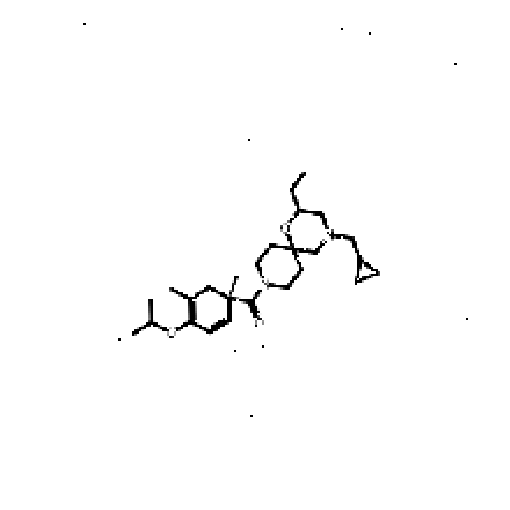 CCC1CN(CC2CC2)CC2(CCN(C(=O)[C@]3(C)C=CC(OC(C)C)=C(C)C3)CC2)O1